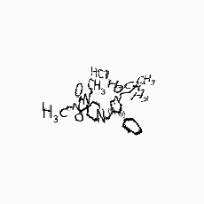 CCN1C(=O)N(CC)C2(CCN(C[C@H]3CN(C(=O)CC(C)(C)C)C[C@@H]3c3ccccc3)CC2)C1=O.Cl